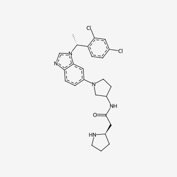 C[C@H](c1ccc(Cl)cc1Cl)n1cnc2ccc(N3CCC(NC(=O)C[C@H]4CCCN4)C3)cc21